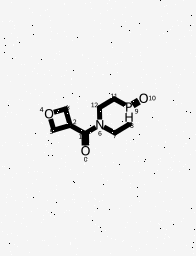 O=C(C1COC1)N1CC[PH](=O)CC1